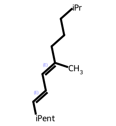 [CH2]CCC(C)/C=C/C=C(\C)CCCC(C)C